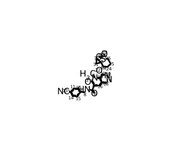 Cn1c(=O)c(C(=O)NCc2ccc(C#N)cc2)cc2cnnc(O[C@H]3CCCS(=O)(=O)C34CC4)c21